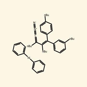 CCCCC(=C=[N+]=[N-])C(CCCC)=C(c1ccc(CCCC)cc1)c1cccc(CCCC)c1.c1cc[c]([Ni][c]2ccccc2)cc1